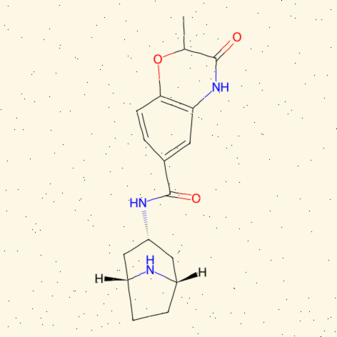 CC1Oc2ccc(C(=O)N[C@H]3C[C@H]4CC[C@@H](C3)N4)cc2NC1=O